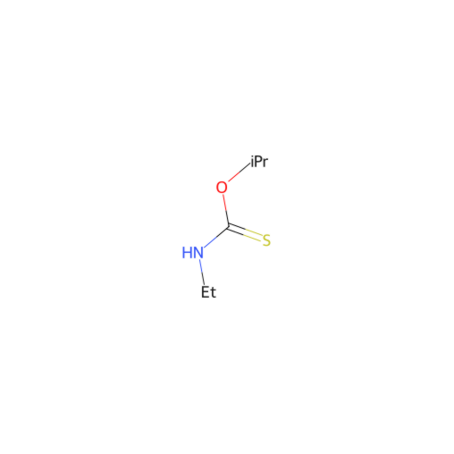 CCNC(=S)OC(C)C